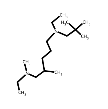 CCN(C)CC(C)CCCN(CC)CC(C)(C)C